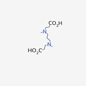 CN(CCCN(C)CCC(=O)O)CCC(=O)O